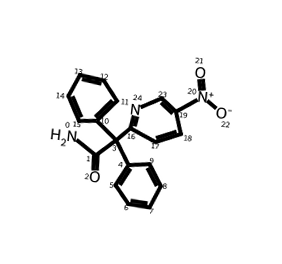 NC(=O)C(c1ccccc1)(c1ccccc1)c1ccc([N+](=O)[O-])cn1